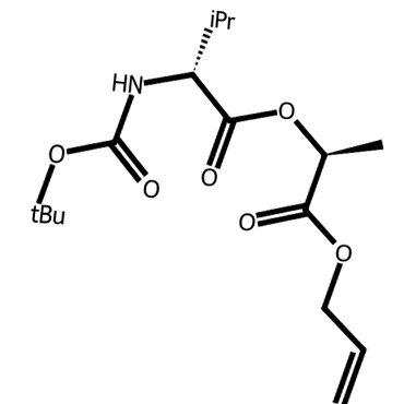 C=CCOC(=O)[C@H](C)OC(=O)[C@H](NC(=O)OC(C)(C)C)C(C)C